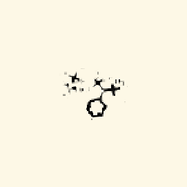 CC(C)(C)I(c1ccccc1)C(C)(C)C.O=S(=O)(O)C(F)(F)F